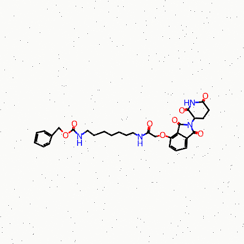 O=C(COc1cccc2c1C(=O)N(C1CCC(=O)NC1=O)C2=O)NCCCCCCCNC(=O)OCc1ccccc1